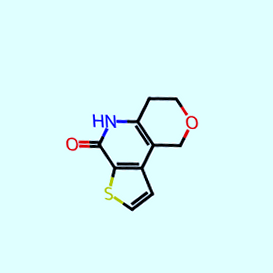 O=c1[nH]c2c(c3ccsc13)COCC2